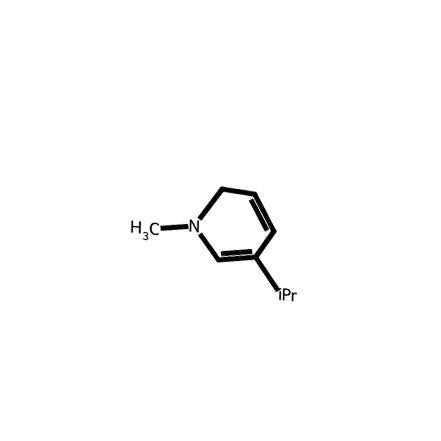 CC(C)C1=CN(C)CC=C1